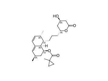 C[C@H]1C=C2C=C[C@H](C)[C@H](CCC[C@@H]3C[C@@H](O)CC(=O)O3)[C@H]2[C@@H](OC(=O)C2(C)CC2)C1